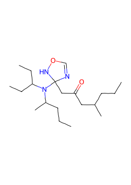 CCCC(C)CC(=O)CC1(N(C(C)CCC)C(CC)CC)N=CON1